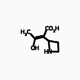 CC(O)=C(C(=O)O)C1CCN1